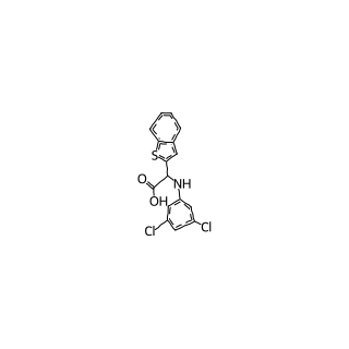 O=C(O)C(Nc1cc(Cl)cc(Cl)c1)c1cc2ccccc2s1